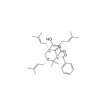 CC(C)=CCC1=C(O)[C@]2(CC=C(C)C)C[C@@H](CC=C(C)C)C(C)(C)[C@](C(=O)c3ccccc3)(C1=O)C2=O